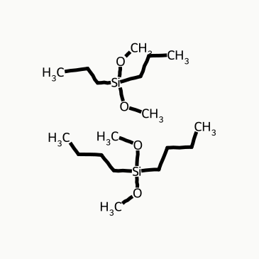 CCCC[Si](CCCC)(OC)OC.CCC[Si](CCC)(OC)OC